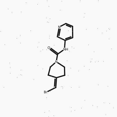 O=C(Nc1cccnc1)N1CCC(=CBr)CC1